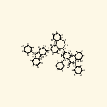 O=c1c2c(-c3ccccc3)nc(C3CCc4ccccc4-c4cc(-c5ccc6c(c5)c5ccccc5n6-c5ccccc5)ccc43)cc2c2ncccc2n1-c1ccccc1